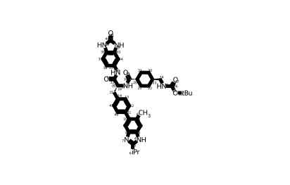 Cc1cc2[nH]c(C(C)C)nc2cc1-c1ccc(C[C@@H](NC(=O)[C@H]2CC[C@H](CNC(=O)OC(C)(C)C)CC2)C(=O)Nc2ccc3[nH]c(=O)[nH]c3c2)cc1